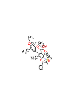 CCCOc1ccc(-c2c(C)c(OCc3ccccc3)c(N(C)[S+](C)[O-])c(C)c2C(OC(C)(C)C)C(=O)O)cc1C